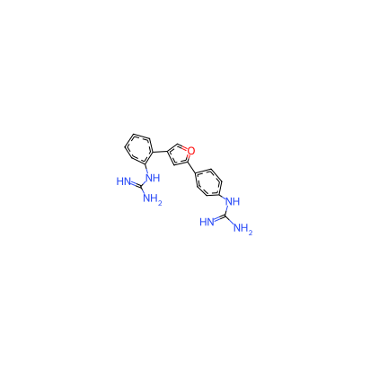 N=C(N)Nc1ccc(-c2cc(-c3ccccc3NC(=N)N)co2)cc1